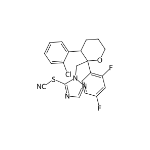 N#CSc1ncnn1CC1(c2ccc(F)cc2F)OCCCC1c1ccccc1Cl